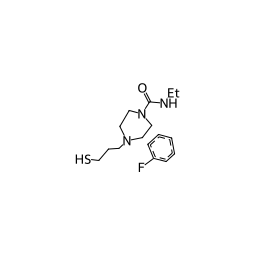 CCNC(=O)N1CCN(CCCS)CC1.Fc1ccccc1